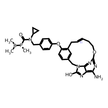 CB(C)P(C)C(=O)N(Cc1ccc(Oc2ccc3cc2C/C=C/CCOc2nc(N)c4nc(O)n(c4n2)C3)cc1)C1CC1